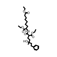 CCOC(=O)CCCCCCC(NC(=O)C(CCC(C)(O)CCc1ccccc1)C(=O)OCC)C(=O)OCC